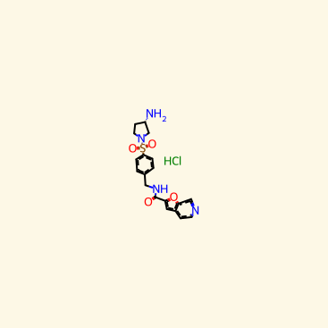 Cl.N[C@H]1CCN(S(=O)(=O)c2ccc(CNC(=O)c3cc4ccncc4o3)cc2)C1